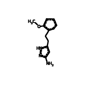 COc1ccccc1CCc1cc(N)n[nH]1